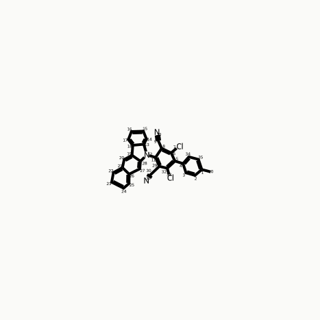 Cc1ccc(-c2c(Cl)c(C#N)c(-n3c4ccccc4c4cc5ccccc5cc43)c(C#N)c2Cl)cc1